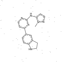 Cn1nccc1Nc1nccc(-c2ccc3c(c2)CCN3)n1